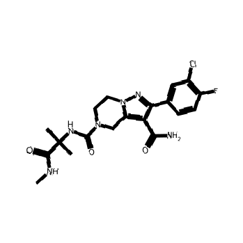 CNC(=O)C(C)(C)NC(=O)N1CCn2nc(-c3ccc(F)c(Cl)c3)c(C(N)=O)c2C1